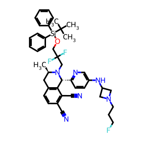 C[C@@H]1Cc2ccc(C#N)c(C#N)c2[C@@H](c2ccc(NC3CN(CCCF)C3)cn2)N1CC(F)(F)CO[Si](c1ccccc1)(c1ccccc1)C(C)(C)C